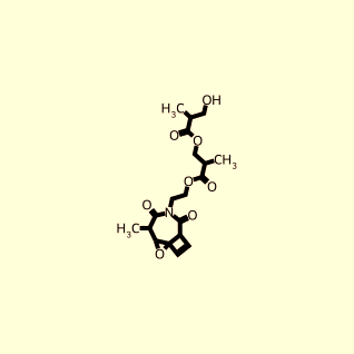 CC(CO)C(=O)OCC(C)C(=O)OCCN1C(=O)C(C)C2OC23C=CC3C1=O